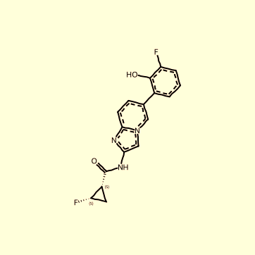 O=C(Nc1cn2cc(-c3cccc(F)c3O)ccc2n1)[C@@H]1C[C@@H]1F